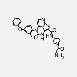 Cc1cc(Oc2ccccc2)ccc1N1C(=O)Nc2c(C(=O)N[C@@H]3CCN(C(=O)CN)C3)sc3nccc1c23